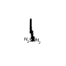 CCCCCCCCCCCCCCC[C@H]1CC[C@H](C=CCC[C@H]2CC[C@H]([SiH2]C(C)[SiH2]C)CC2)CC1